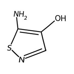 Nc1sncc1O